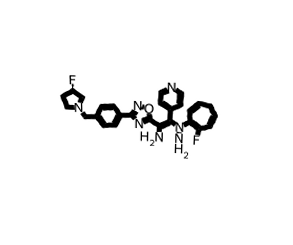 N/C(=C(/c1ccncc1)N(N)C1=C(F)C=CCC=C1)c1nc(-c2ccc(CN3CC[C@H](F)C3)cc2)no1